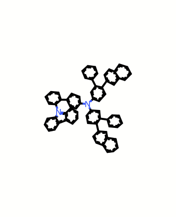 c1ccc(-c2cc(N(c3ccc(-c4ccccc4-n4c5ccccc5c5ccccc54)cc3)c3ccc(-c4ccc5ccccc5c4)c(-c4ccccc4)c3)ccc2-c2ccc3ccccc3c2)cc1